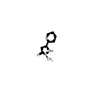 Cn1[nH]c(-c2ccccn2)cc1=O